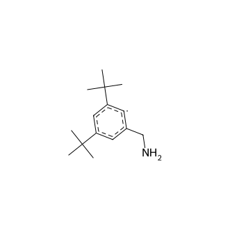 CC(C)(C)c1[c]c(CN)cc(C(C)(C)C)c1